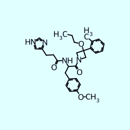 CCCOC1(c2ccccc2C)CN(C(=O)C(Cc2ccc(OC)cc2)NC(=O)CCc2c[nH]cn2)C1